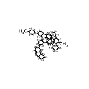 Cc1ccc(-c2ccc3c4ccc(-c5ccc(C)cc5)cc4n(-c4ccc(-c5ccc6sc7ccccc7c6c5)cc4-c4nc(-c5ccccc5)nc(-c5ccccc5)n4)c3c2)cc1